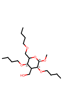 CCCCOCC1O[C@@H](OC)[C@@H](OCCCC)C(CO)[C@H]1OCCCC